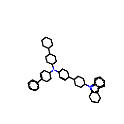 C1=CC(N(C2CC=C(c3ccccc3)CC2)C2CCC(C3CCCCC3)CC2)CCC1C1CCC(n2c3c(c4ccccc42)CCCC3)CC1